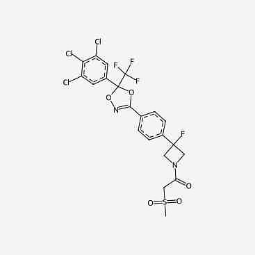 CS(=O)(=O)CC(=O)N1CC(F)(c2ccc(C3=NOC(c4cc(Cl)c(Cl)c(Cl)c4)(C(F)(F)F)O3)cc2)C1